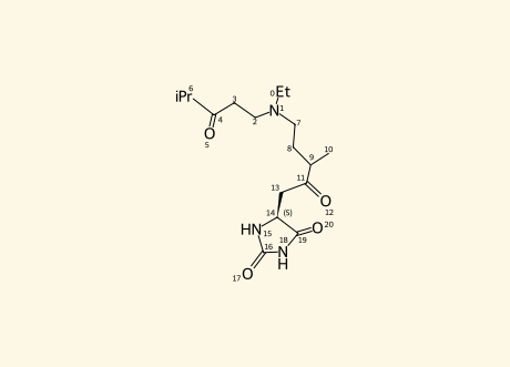 CCN(CCC(=O)C(C)C)CCC(C)C(=O)C[C@@H]1NC(=O)NC1=O